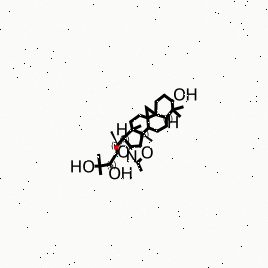 CC1=NC23OC([C@H](O)C(C)(C)O)C[C@@H](C)[C@@H]2C2(C)CCC45CC46CCC(O)C(C)(C)[C@@H]6CCC5[C@]2(C)C3O1